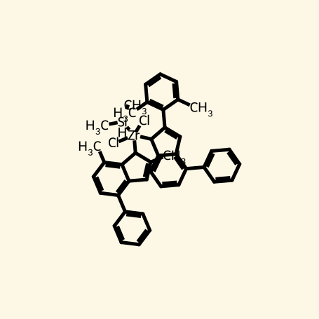 CC1=Cc2c(-c3ccccc3)ccc(C)c2[CH]1[Zr]([Cl])([Cl])([CH]1C(c2c(C)cccc2C)=Cc2c(-c3ccccc3)cccc21)[SiH](C)C